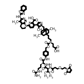 Cc1c(Nc2nc3ccccc3s2)nnc2c1CCCN2c1ccc(-c2cnn(CC34CC5(CCCN(CCC(=O)O)C(=O)OCc6ccc(NC(=O)[C@H](CCCNC(N)=O)NC(=O)[C@@H](NC(=O)CCOCCN7C(=O)C=CC7=O)C(C)C)cc6)C[C@@](C)(C3)C[C@](C)(C5)C4)c2C)c(C(=O)O)n1